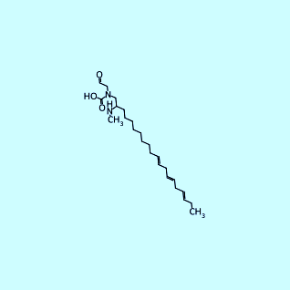 CC/C=C/C/C=C/C/C=C/CCCCCCCCC(CN(CC=O)C(=O)O)NC